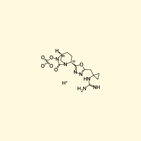 N=C(N)NC1(Cc2nnc([C@@H]3CC[C@@H]4CN3C(=O)N4OS(=O)(=O)[O-])o2)CC1.[H+]